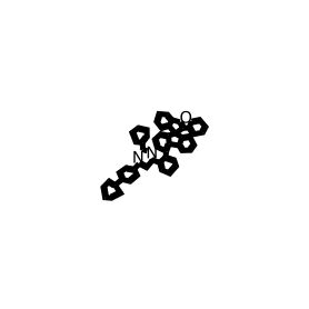 c1ccc(-c2ccc(-c3cc(-c4ccccc4-c4cccc5c4-c4ccccc4C54c5ccccc5-c5oc6ccccc6c54)nc(-c4ccccc4)n3)cc2)cc1